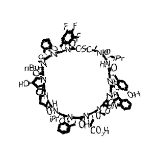 CCCC[C@H]1C(=O)N2C[C@H](O)C[C@@H]2C(=O)N2CCC[C@H]2C(=O)N[C@@H](C(C)C)C(=O)N(C)[C@@H](Cc2ccccc2)C(=O)N[C@@H](CCC(=O)O)C(=O)N2CCOC[C@@H]2C(=O)N[C@@H](Cc2c[nH]c3ccccc23)C(=O)N[C@@H](Cc2ccc(O)cc2)C(=O)N[C@@H](CC(C)C)C(=O)N[C@H](C)CSCC(=O)N[C@@H](Cc2cc(F)c(F)c(F)c2)C(=O)N(C)[C@@H](Cc2ccccc2)C(=O)N1C